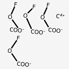 O=C([O-])OF.O=C([O-])OF.O=C([O-])OF.O=C([O-])OF.[C+4]